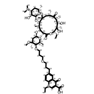 CC[C@@H]1OC(=O)[C@H](C)[C@H](O[C@@H]2C[C@](C)(OC)[C@H](OCCCOCCCc3ccc4c(c3)c(=O)c(C(=O)O)cn4CC)[C@H](C)O2)[C@@H](C)[C@H](O[C@H]2O[C@@H](C)C[C@@H](N(C)C)[C@H]2O)[C@](C)(OC)C[C@H](C)C(=O)[C@H](C)[C@H](O)[C@@]1(C)O